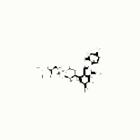 CC(C)CS(=O)(=O)N1CCC(c2cc(F)cc3c2CN(C2CCC(=O)NC2=O)C3=O)CC1